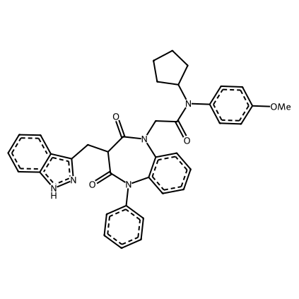 COc1ccc(N(C(=O)CN2C(=O)C(Cc3n[nH]c4ccccc34)C(=O)N(c3ccccc3)c3ccccc32)C2CCCC2)cc1